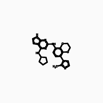 Cn1nccc1-c1ccc(Nc2nc(NC3CCCC3)c3cc[nH]c3n2)c2c1OCCO2